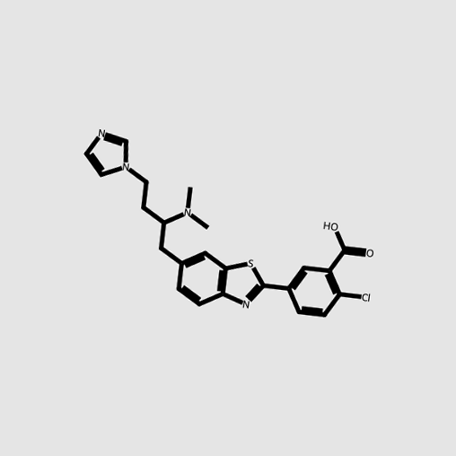 CN(C)C(CCn1ccnc1)Cc1ccc2nc(-c3ccc(Cl)c(C(=O)O)c3)sc2c1